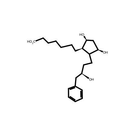 O=C(O)CCCCCC[C@@H]1C(CC[C@@H](O)Cc2ccccc2)[C@H](O)C[C@@H]1O